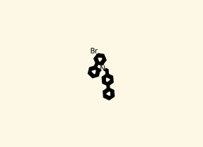 Brc1ccc2c(c1)c1ccccc1n2Cc1ccc(-c2ccccc2)cc1